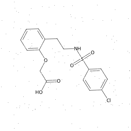 O=C(O)COc1ccccc1CCNS(=O)(=O)c1ccc(Cl)cc1